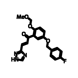 COCOc1ccc(OCc2ccc(F)cc2)cc1C(=O)C=Cc1nc[nH]n1